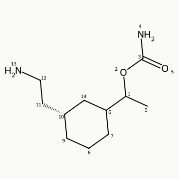 CC(OC(N)=O)C1CCC[C@H](CCN)C1